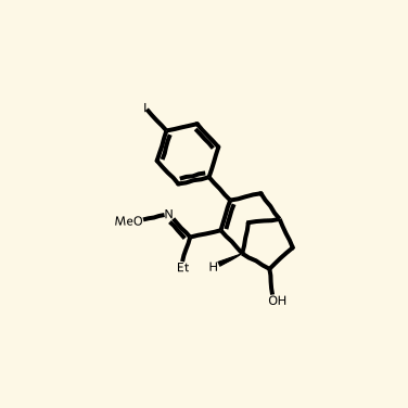 CCC(=NOC)C1=C(c2ccc(I)cc2)CC2CC(O)[C@H]1C2